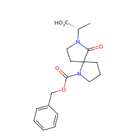 C[C@@H](C(=O)O)N1CCC2(CCCN2C(=O)OCc2ccccc2)C1=O